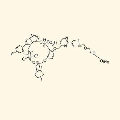 COCCOCCOC[C@@H]1CC=C(c2nccc(COc3ccc4cc3C[C@H](C(=O)O)Oc3ncnc5sc(-c6ccc(F)cc6)c(c35)-c3c(C)c(Cl)c(c(Cl)c3C)O[C@H](CN3CCN(C)CC3)CO4)n2)CC1